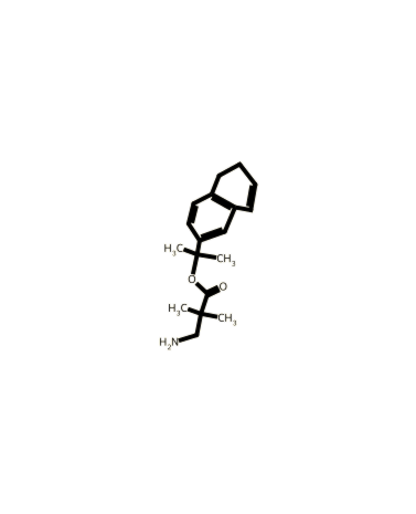 CC(C)(CN)C(=O)OC(C)(C)c1ccc2c(c1)C=CCC2